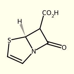 O=C(O)C1C(=O)N2C=CS[C@@H]12